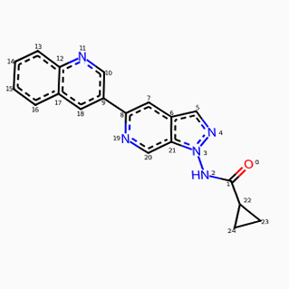 O=C(Nn1ncc2cc(-c3cnc4ccccc4c3)ncc21)C1CC1